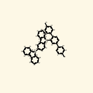 Cc1ccc(-c2ccc(-c3ccc(C)cc3)c(-n3c4ccccc4c4cc(-n5c6ccccc6c6ccccc65)ccc43)c2)cc1